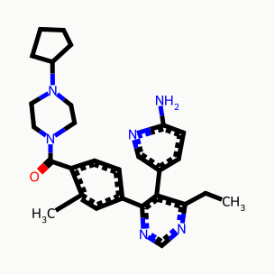 CCc1ncnc(-c2ccc(C(=O)N3CCN(C4CCCC4)CC3)c(C)c2)c1-c1ccc(N)nc1